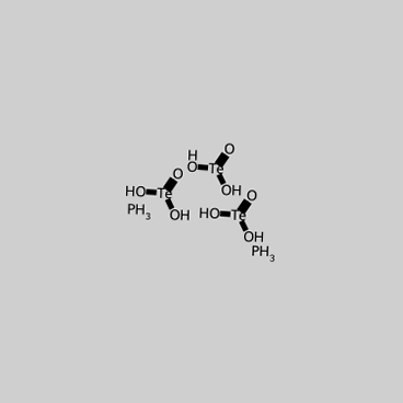 O=[Te](O)O.O=[Te](O)O.O=[Te](O)O.P.P